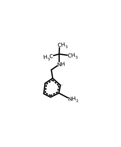 CC(C)(C)NCc1[c]c(N)ccc1